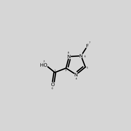 O=C(O)c1ncn(F)n1